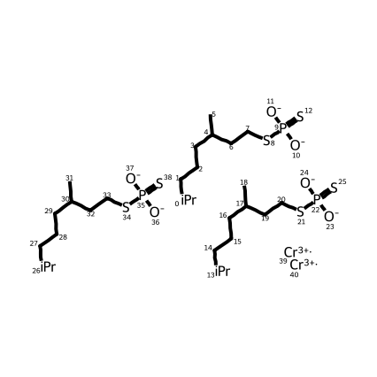 CC(C)CCCC(C)CCSP([O-])([O-])=S.CC(C)CCCC(C)CCSP([O-])([O-])=S.CC(C)CCCC(C)CCSP([O-])([O-])=S.[Cr+3].[Cr+3]